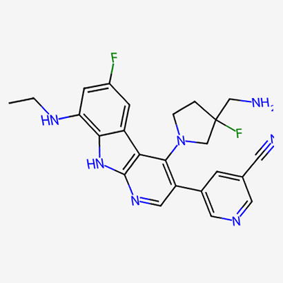 CCNc1cc(F)cc2c1[nH]c1ncc(-c3cncc(C#N)c3)c(N3CCC(F)(CN)C3)c12